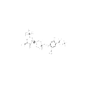 CC(C)(C)OC(=O)c1cc(C2CC2)c(OCC2(F)CCN(N3CC(C(F)(F)F)CC(Cl)C3F)CC2)cc1F